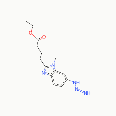 CCOC(=O)CCCc1nc2ccc(NN=N)cc2n1C